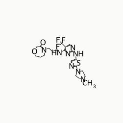 CN1CCN(c2ncc(Nc3ncc(C(F)(F)F)c(NCCCN4CCCOCC4=O)n3)s2)CC1